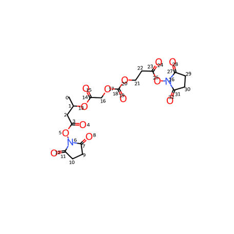 CC(CC(=O)ON1C(=O)CCC1=O)OC(=O)COC(=O)OCCC(=O)ON1C(=O)CCC1=O